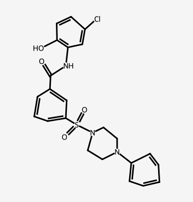 O=C(Nc1cc(Cl)ccc1O)c1cccc(S(=O)(=O)N2CCN(c3ccccc3)CC2)c1